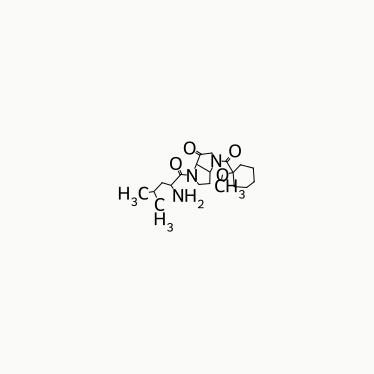 COC1(C(=O)N2CC(=O)C3C2CCN3C(=O)C(N)CC(C)C)CCCCC1